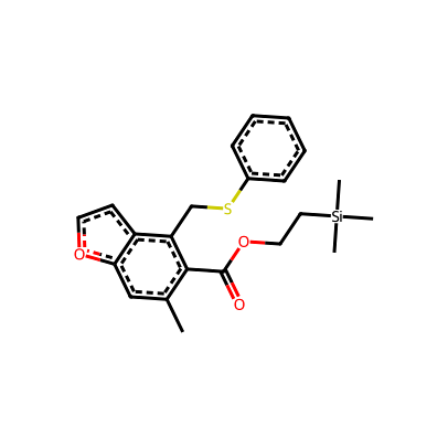 Cc1cc2occc2c(CSc2ccccc2)c1C(=O)OCC[Si](C)(C)C